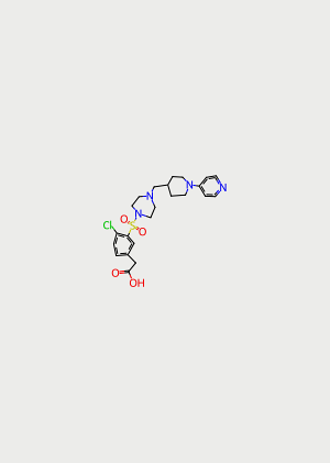 O=C(O)Cc1ccc(Cl)c(S(=O)(=O)N2CCN(CC3CCN(c4ccncc4)CC3)CC2)c1